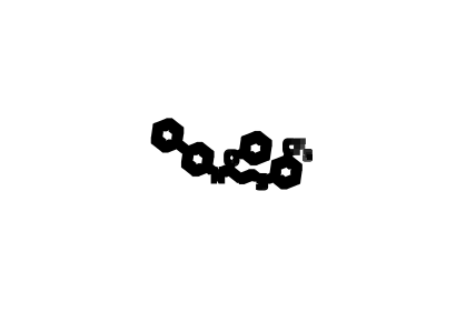 FC(F)(F)c1cccc(SC=CC(=Nc2ccc(-c3ccccc3)cc2)Oc2ccccc2)c1